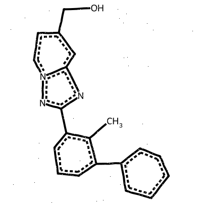 Cc1c(-c2ccccc2)cccc1-c1nc2cc(CO)ccn2n1